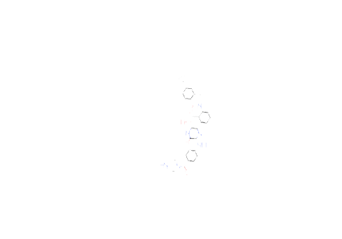 CN1CCN(C(=O)c2ccc(Nc3nc(-c4cccc(N5CCc6cc(C7CC7)ccc6C5=O)c4CO)cn(C)c3=O)cc2)CC1